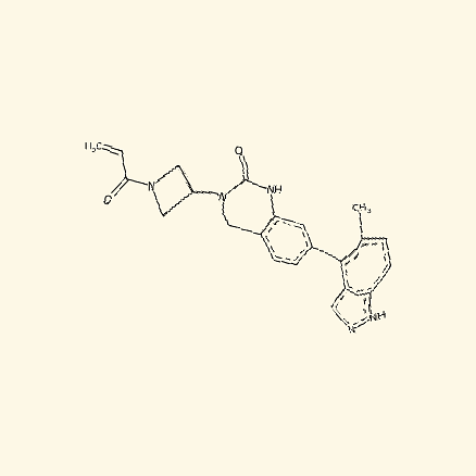 C=CC(=O)N1CC(N2Cc3ccc(-c4c(C)ccc5[nH]ncc45)cc3NC2=O)C1